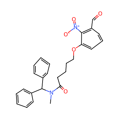 CN(C(=O)CCCCOc1cccc(C=O)c1[N+](=O)[O-])C(c1ccccc1)c1ccccc1